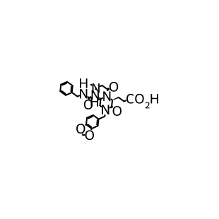 CN1CC(=O)N2[C@@H](CCC(=O)O)C(=O)N(Cc3ccc4c(c3)OCO4)C[C@@H]2N1C(=O)NCc1ccccc1